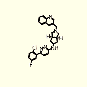 Fc1ccc(Cl)c(-c2ccc(NC3C[C@@H]4CN(Cc5cnc6ccccc6c5)C[C@@H]4C3)nn2)c1